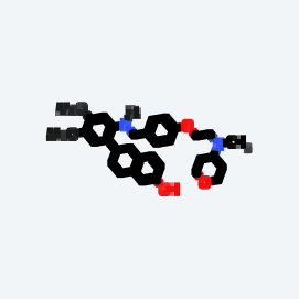 CCN(Cc1ccc(OCCN(C)C2CCOCC2)cc1)c1cc(OC)c(OC)cc1C1CCc2cc(O)ccc2C1